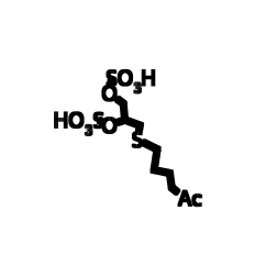 CC(=O)CCCCSCC(COS(=O)(=O)O)OS(=O)(=O)O